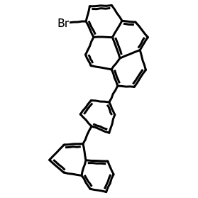 Brc1ccc2ccc3ccc(-c4ccc(-c5cccc6ccccc56)cc4)c4ccc1c2c34